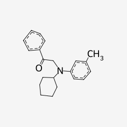 Cc1cccc(N(CC(=O)c2ccccc2)C2CCCCC2)c1